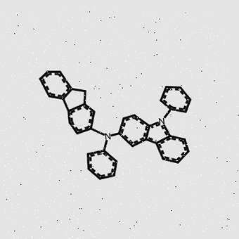 c1ccc(N(c2ccc3c(c2)Cc2ccccc2-3)c2ccc3c(c2)c2ccccc2n3-c2ccccc2)cc1